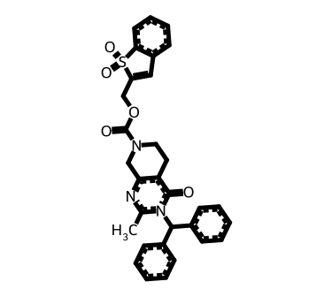 Cc1nc2c(c(=O)n1C(c1ccccc1)c1ccccc1)CCN(C(=O)OCC1=Cc3ccccc3S1(=O)=O)C2